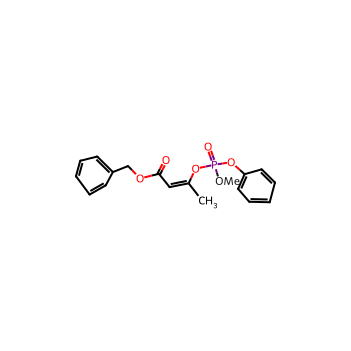 COP(=O)(OC(C)=CC(=O)OCc1ccccc1)Oc1ccccc1